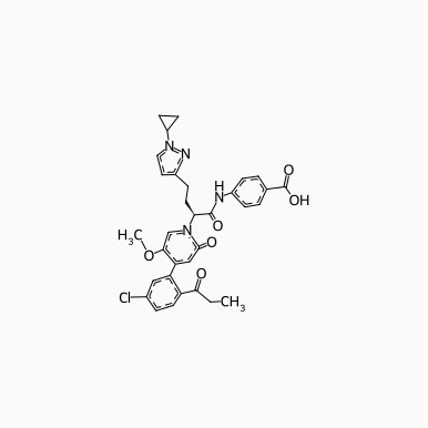 CCC(=O)c1ccc(Cl)cc1-c1cc(=O)n([C@@H](CCc2ccn(C3CC3)n2)C(=O)Nc2ccc(C(=O)O)cc2)cc1OC